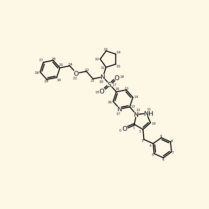 O=c1c(Cc2ccccc2)c[nH]n1-c1ccc(S(=O)(=O)N(CCOCc2ccccc2)C2CCCC2)cn1